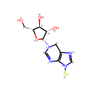 OC[C@H]1O[C@@H](N2C=Nc3c(ncn3S)C2)[C@@H](O)[C@@H]1O